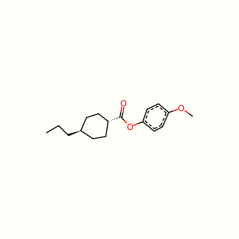 CCC[C@H]1CC[C@H](C(=O)Oc2ccc(OC)cc2)CC1